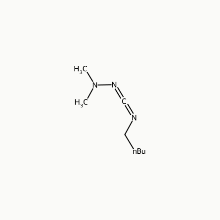 CCCCCN=C=NN(C)C